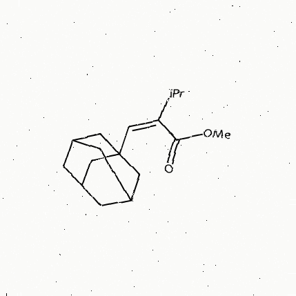 COC(=O)C(=CC12CC3CC(CC(C3)C1)C2)C(C)C